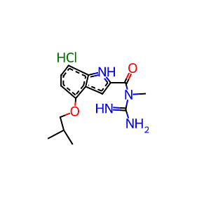 CC(C)COc1cccc2[nH]c(C(=O)N(C)C(=N)N)cc12.Cl